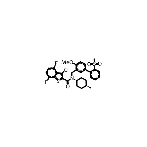 COc1ccc(-c2ccccc2S(C)(=O)=O)cc1CN(C(=O)c1sc2c(F)ccc(F)c2c1Cl)[C@H]1CC[C@H](C)CC1